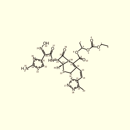 CCOC(=O)OC(C)OC(=O)C1=C(/C=C\c2snnc2C)CS[C@@H]2C(NC(=O)/C(=N\O)c3csc(N)n3)C(=O)N12